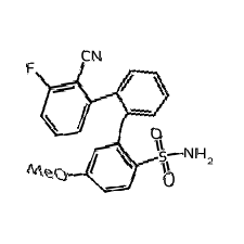 COc1ccc(S(N)(=O)=O)c(-c2ccccc2-c2cccc(F)c2C#N)c1